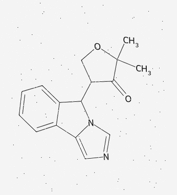 CC1(C)OCC(C2c3ccccc3-c3cncn32)C1=O